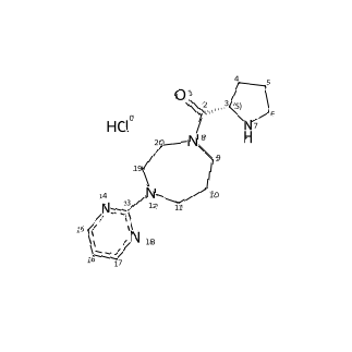 Cl.O=C([C@@H]1CCCN1)N1CCCN(c2ncccn2)CC1